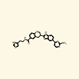 Nc1nccc(-c2ccc3[nH]c(C4COc5ccc(C(=O)NCCc6cnc[nH]6)cc5C4)nc3c2)n1